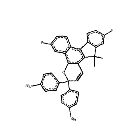 CC(C)(C)c1ccc(C2(c3ccc(C(C)(C)C)cc3)C=Cc3c4c(c5ccc(F)cc5c3O2)-c2ccc(F)cc2C4(C)C)cc1